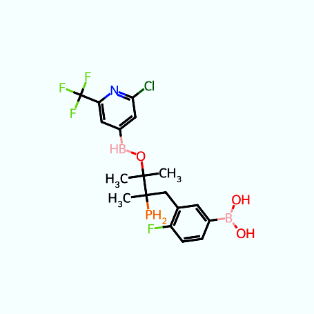 CC(P)(Cc1cc(B(O)O)ccc1F)C(C)(C)OBc1cc(Cl)nc(C(F)(F)F)c1